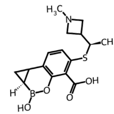 C[C@@H](Sc1ccc2c(c1C(=O)O)OB(O)[C@H]1CC21)C1CN(C)C1